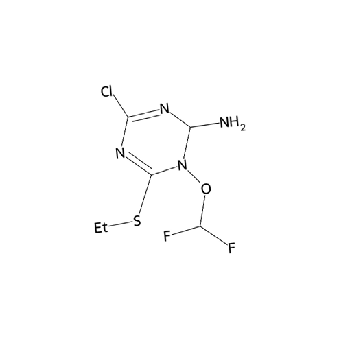 CCSC1=NC(Cl)=NC(N)N1OC(F)F